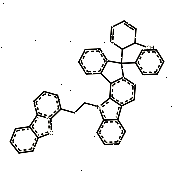 CC1C=CC=CC1C1(c2ccccc2)c2ccccc2-c2c1ccc1c3ccccc3n(CCc3cccc4c3oc3ccccc34)c21